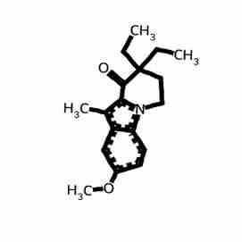 CCC1(CC)CCn2c(c(C)c3cc(OC)ccc32)C1=O